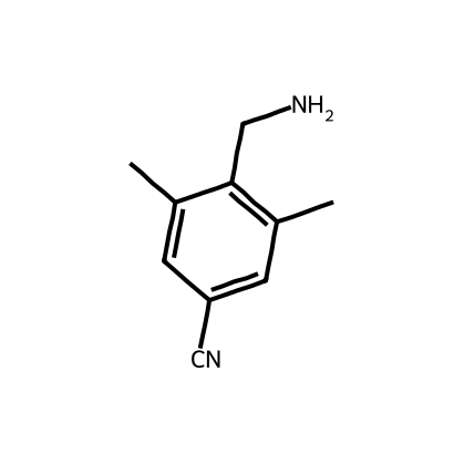 Cc1cc(C#N)cc(C)c1CN